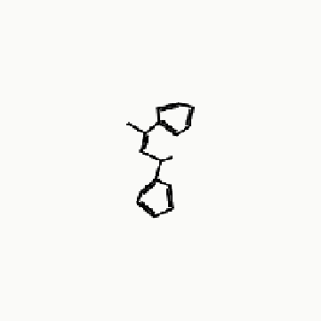 CC(=CC(C)c1ccccc1)c1ccccc1